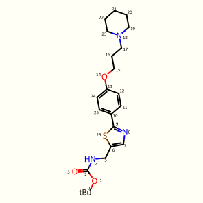 CC(C)(C)OC(=O)NCc1cnc(-c2ccc(OCCCN3CCCCC3)cc2)s1